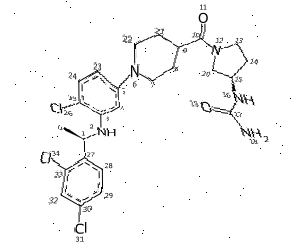 C[C@@H](Nc1cc(N2CCC(C(=O)N3CC[C@@H](NC(N)=O)C3)CC2)ccc1Cl)c1ccc(Cl)cc1Cl